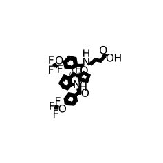 O=C(O)CCCNC(=O)c1ccc(OC(F)(F)F)cc1[C@H]1c2ccccc2N(C(=O)c2ccc(OC(F)(F)F)cc2)[C@@H]2CCC[C@H]12